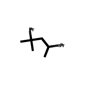 [CH2]C(C)C(C)(C)CC(C)CCC